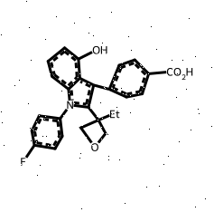 CCC1(c2c(-c3ccc(C(=O)O)cc3)c3c(O)cccc3n2-c2ccc(F)cc2)COC1